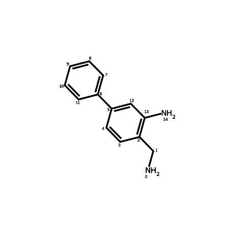 NCc1ccc(-c2ccccc2)cc1N